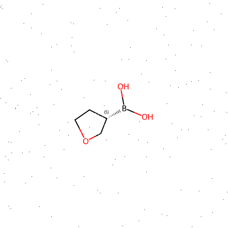 OB(O)[C@H]1CCOC1